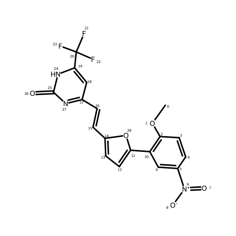 COc1ccc([N+](=O)[O-])cc1-c1ccc(C=Cc2cc(C(F)(F)F)[nH]c(=O)n2)o1